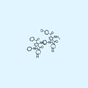 Nc1c(C(=O)c2ccc(Cl)cc2)sc(Nc2ccccc2)c1C(=O)N1CCNCC1.Nc1c(C(=O)c2ccccc2)sc(Nc2ccccc2)c1C(=O)N1CCNCC1